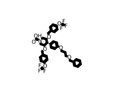 O=C(O)N1C[C@H](OCc2ccc(OC(F)(F)F)cc2)[C@H](c2ccc(OCCCOCc3ccccc3)cc2)[C@H](OCc2ccc(OC(F)(F)F)cc2)C1